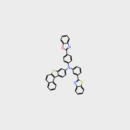 c1cc(-c2nc3ccccc3s2)cc(N(c2ccc(-c3nc4ccccc4o3)cc2)c2ccc3c(c2)sc2ccc4ccccc4c23)c1